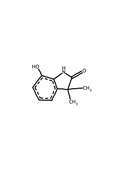 CC1(C)C(=O)Nc2c(O)cccc21